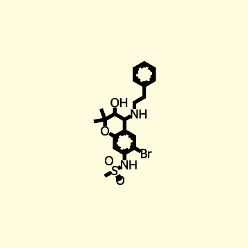 CC1(C)Oc2cc(NS(C)(=O)=O)c(Br)cc2C(NCCc2ccccc2)C1O